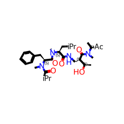 CC(=O)[C@H](C)N(C)C(=O)[C@@H](CNC(=O)[C@H](CC(C)C)N(C)C(=O)[C@H](Cc1ccccc1)N(C)C(=O)C(C)C)[C@@H](C)O